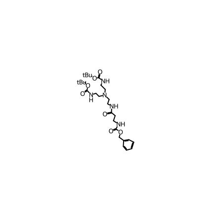 CC(C)(C)OC(=O)NCCN(CCNC(=O)CCNC(=O)OCc1ccccc1)CCNC(=O)OC(C)(C)C